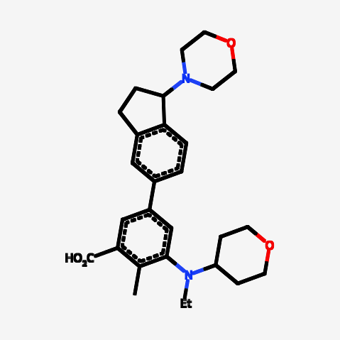 CCN(c1cc(-c2ccc3c(c2)CCC3N2CCOCC2)cc(C(=O)O)c1C)C1CCOCC1